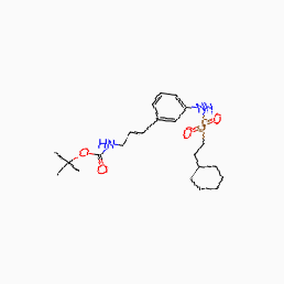 CC(C)(C)OC(=O)NCCCc1cccc(NS(=O)(=O)CCC2CCCCC2)c1